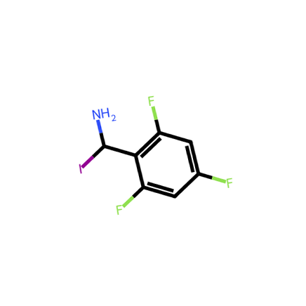 NC(I)c1c(F)cc(F)cc1F